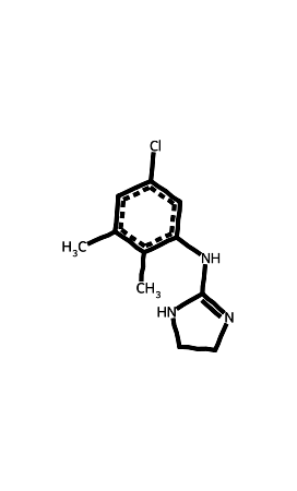 Cc1cc(Cl)cc(NC2=NCCN2)c1C